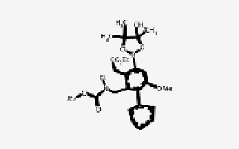 CCOC(=O)Cc1c(B2OC(C)(C)C(C)(C)O2)cc(OC)c(-c2ccccc2)c1CN(CC)C(=O)OC(C)(C)C